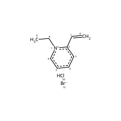 C=Cc1cccc[n+]1CC.Cl.[Br-]